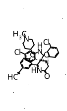 C#Cc1ccc(OC2CCN(C)CC2)c([C@@H]2NC(=O)C[C@@H](C3C=CC=C(Cl)C3)[C@]23C(=O)Nc2cc(Cl)ccc23)c1